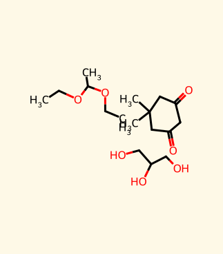 CC1(C)CC(=O)CC(=O)C1.CCOC(C)OCC.OCC(O)CO